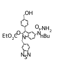 CCCCN(C(N)=O)c1ccc2c(c1)c(-c1ccc(CO)cc1)c(OC(=O)OCC)n2Cc1ccc2nsnc2c1